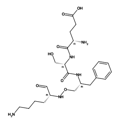 NCCCC[C@H](C=O)NOC[C@@H](Cc1ccccc1)NC(=O)[C@H](CO)NC(=O)[C@@H](N)CCC(=O)O